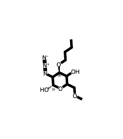 CCCCO[C@H]1C(O)C(COC)O[C@H](O)C1N=[N+]=[N-]